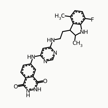 Cc1ccc(F)c2c1C(CCNc1cc(Nc3ccc4c(=O)[nH][nH]c(=O)c4c3)ncn1)C(C)N2